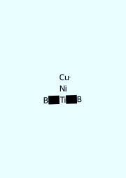 [B]#[Ti]#[B].[Cu].[Ni]